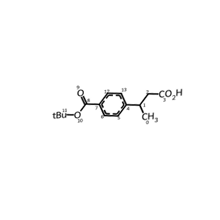 CC(CC(=O)O)c1ccc(C(=O)OC(C)(C)C)cc1